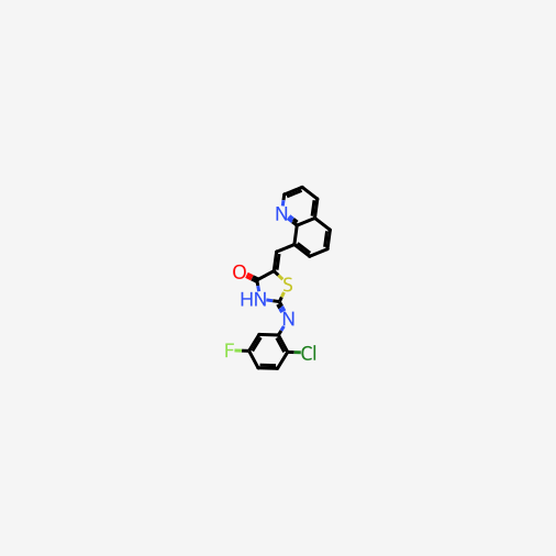 O=C1NC(=Nc2cc(F)ccc2Cl)SC1=Cc1cccc2cccnc12